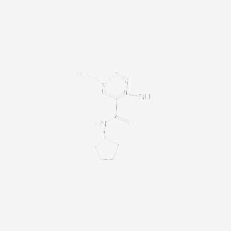 Cc1ccc(N)c(C(=O)NC2CCCC2)c1